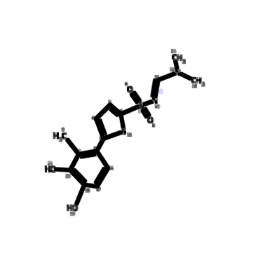 Cc1c(-c2ccc(S(=O)(=O)/N=C/N(C)C)s2)ccc(O)c1O